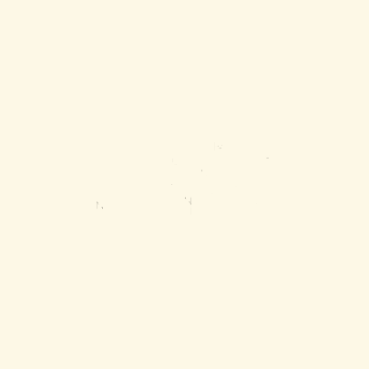 CC(C)(NC(=O)c1ccncc1)C(=O)C(Br)Br